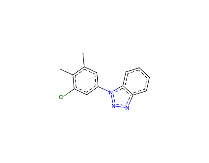 Cc1cc(-n2nnc3ccccc32)cc(Cl)c1C